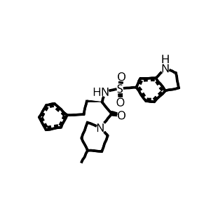 CC1CCN(C(=O)[C@@H](CCc2ccccc2)NS(=O)(=O)c2ccc3c(c2)NCC3)CC1